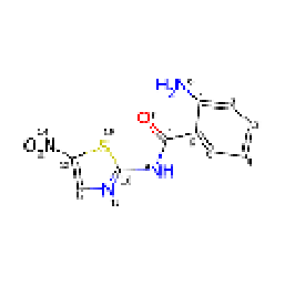 Nc1ccccc1C(=O)Nc1ncc([N+](=O)[O-])s1